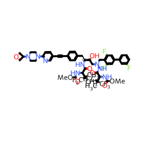 COC(=O)NC(C(=O)N[C@@H](Cc1ccc(C#Cc2ccc(N3CCN(C4COC4)CC3)nc2)cc1)[C@@H](O)CN(Cc1c(F)cc(-c2cccc(F)c2)cc1F)NC(=O)[C@@H](NC(=O)OC)C(C)(C)C(F)(F)F)C(C)(C)C(F)(F)F